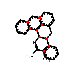 CC(=NN(Cc1ccccc1)Cc1ccccc1)C(C)=NN(Cc1ccccc1)Cc1ccccc1